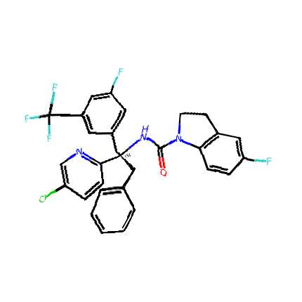 O=C(N[C@@](Cc1ccccc1)(c1cc(F)cc(C(F)(F)F)c1)c1ccc(Cl)cn1)N1CCc2cc(F)ccc21